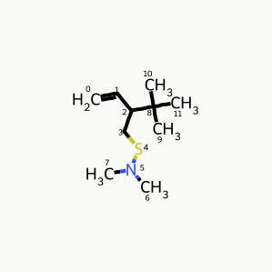 C=CC(CSN(C)C)C(C)(C)C